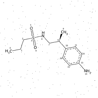 CCCS(=O)(=O)NC[C@@H](C)c1ccc(N)cc1